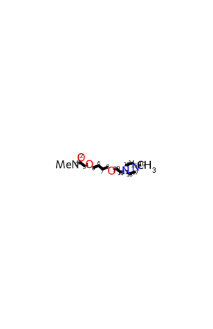 CNC(=O)COCCCCOCCN1CCN(C)CC1